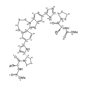 COC(=O)N[C@H](C(=O)N1CCC[C@H]1c1ncc(-c2ccc3c(c2)OCCCn2c-3cc3cc(-c4cnc([C@@H]5CCCN5C(=O)[C@@H](NC(=O)OC)C(C)C)[nH]4)ccc32)[nH]1)C(C)C